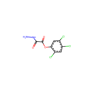 NNC(=O)C(=O)Oc1cc(Cl)c(Cl)cc1Cl